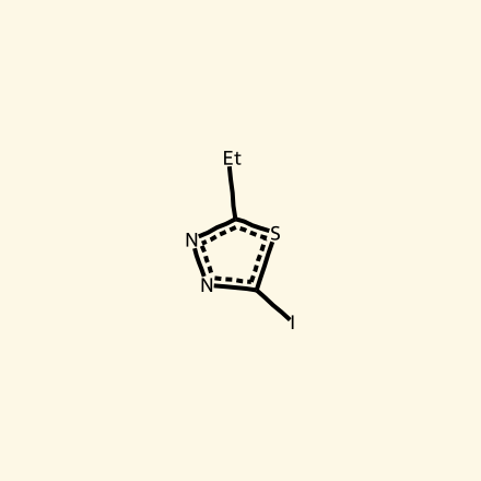 CCc1nnc(I)s1